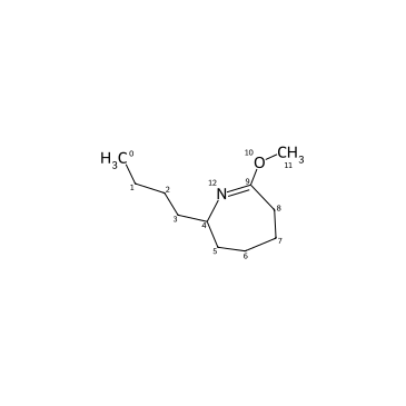 CCCCC1CCCCC(OC)=N1